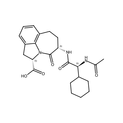 CC(=O)N[C@H](C(=O)N[C@H]1CCc2cccc3c2N(C1=O)[C@H](C(=O)O)C3)C1CCCCC1